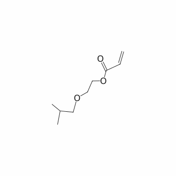 C=CC(=O)OCCOCC(C)C